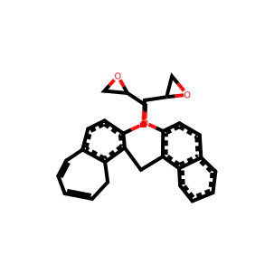 C1=CCc2c(ccc(OCC3CO3)c2Cc2c(OCC3CO3)ccc3ccccc23)C=C1